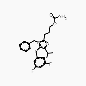 CC(C)c1nc(CCCOC(N)=O)n(Cc2ccccc2)c1Sc1cc(F)cc(F)c1